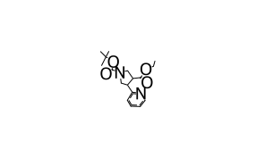 CCOC(=O)C1CN(C(=O)OC(C)(C)C)CC1c1ccccn1